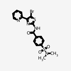 CN(C)S(=O)(=O)c1ccc(C(=O)Nc2nc(-c3ccccn3)c(Br)s2)cc1